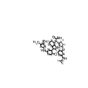 Cc1cc(Nc2ncc(Cl)c(-c3c[nH]c4c(C(C(N)=O)N5CCC(Oc6ccnc(NC7CC7)n6)C5)cccc34)n2)nn1C